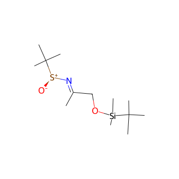 C/C(CO[Si](C)(C)C(C)(C)C)=N\[S@@+]([O-])C(C)(C)C